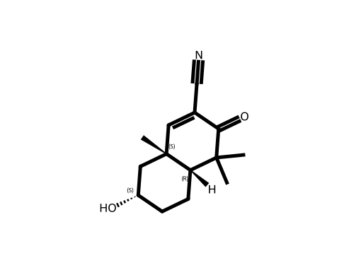 CC1(C)C(=O)C(C#N)=C[C@@]2(C)C[C@@H](O)CC[C@@H]12